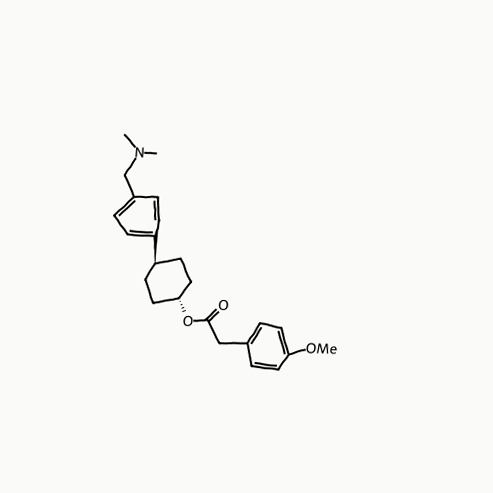 COc1ccc(CC(=O)O[C@H]2CC[C@H](c3ccc(CN(C)C)cc3)CC2)cc1